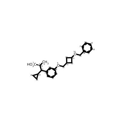 C[C@H](C(=O)O)C(c1cccc(OCC2CC(OCc3ccccc3)C2)c1)C1CC1